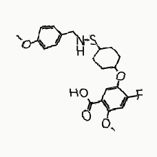 COc1ccc(CNSC2CCC(Oc3cc(C(=O)O)c(OC)cc3F)CC2)cc1